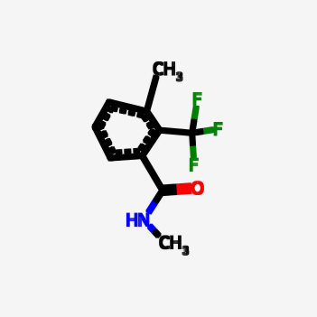 CNC(=O)c1cccc(C)c1C(F)(F)F